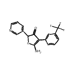 NC1=C(c2cccc(C(F)(F)F)c2)C(=O)C(c2cccnc2)O1